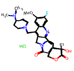 CC[C@@]1(O)C(=O)OCc2c1cc1n(c2=O)Cc2c-1nc1cc(F)c(OC)cc1c2CN1CCC(N(C)C)CC1.Cl